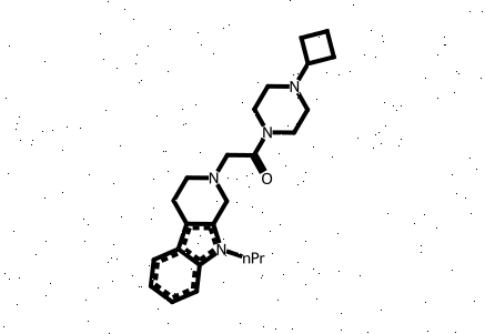 CCCn1c2c(c3ccccc31)CCN(CC(=O)N1CCN(C3CCC3)CC1)C2